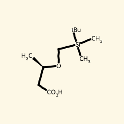 C[C@H](CC(=O)O)OC[Si](C)(C)C(C)(C)C